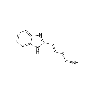 N=CS/C=C/c1nc2ccccc2[nH]1